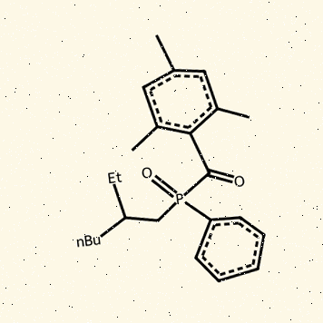 CCCCC(CC)CP(=O)(C(=O)c1c(C)cc(C)cc1C)c1ccccc1